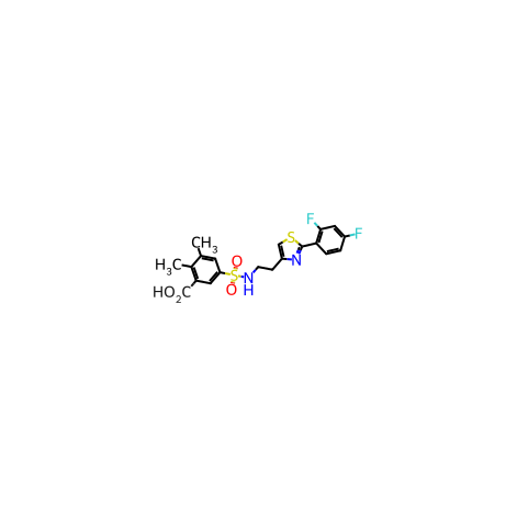 Cc1cc(S(=O)(=O)NCCc2csc(-c3ccc(F)cc3F)n2)cc(C(=O)O)c1C